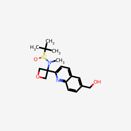 CN([S+]([O-])C(C)(C)C)C1(c2ccc3cc(CO)ccc3n2)COC1